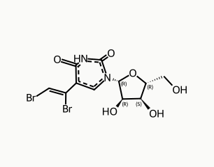 O=c1[nH]c(=O)n([C@@H]2O[C@H](CO)[C@@H](O)[C@H]2O)cc1C(Br)=CBr